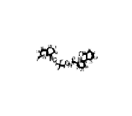 C/C(=N\OCC(C)(C)CO/N=C1\CCCc2ccc(C)nc21)c1cccc(-c2ccccc2Cl)n1